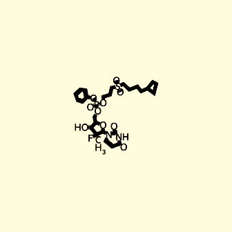 C[C@]1(F)C(n2ccc(=O)[nH]c2=O)OC(COP(=O)(OCCCS(=O)(=O)CCCCC2CCC2)Oc2ccccc2)[C@H]1O